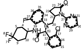 O=C(NC1CCC(F)(F)CC1)[C@H](c1ccccc1Cl)N(CC1CCC(=O)N1c1ncccn1)c1cccc(F)c1